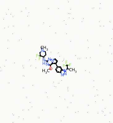 COc1nc(N[C@@H]2CCN(C)CC2(F)F)nn2ccc(-c3ccc4nnn([C@H](C)C(F)(F)F)c4c3)c12